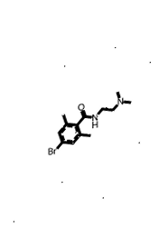 Cc1cc(Br)cc(C)c1C(=O)NCCN(C)C